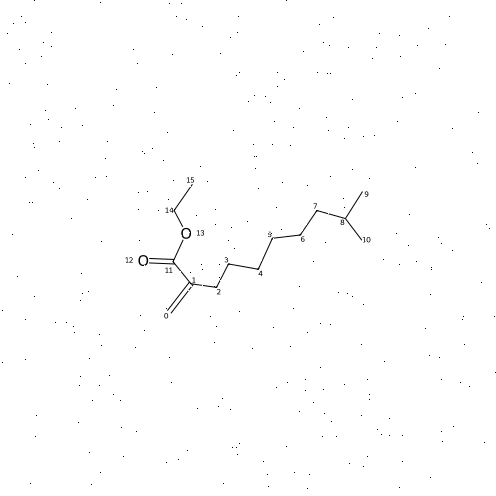 C=C(CCCCCCC(C)C)C(=O)OCC